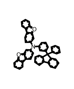 c1ccc(C2(c3cccc(N(c4ccc5c(c4)oc4ccccc45)c4ccc5c(c4)oc4ccccc45)c3)c3ccccc3-c3ccccc32)cc1